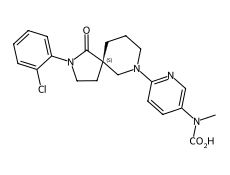 CN(C(=O)O)c1ccc(N2CCC[C@]3(CCN(c4ccccc4Cl)C3=O)C2)nc1